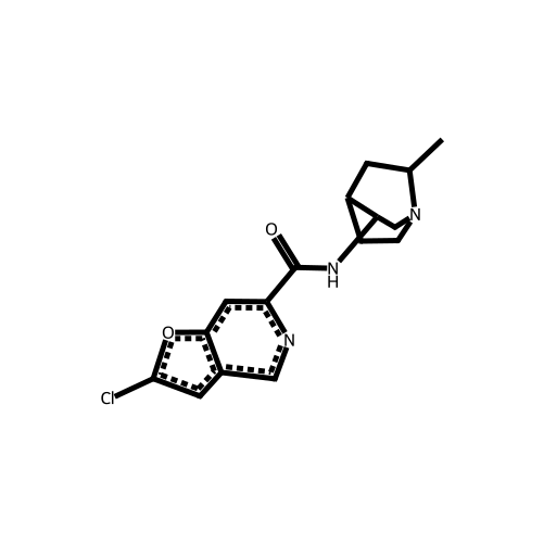 CC1CC2CCN1CC2NC(=O)c1cc2oc(Cl)cc2cn1